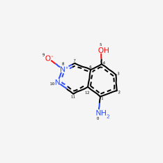 Nc1ccc(O)c2c[n+]([O-])ncc12